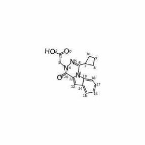 O=C(O)Cn1nc(C2CCC2)n2c(cc3ccccc32)c1=O